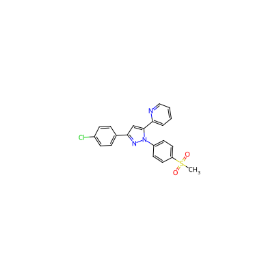 CS(=O)(=O)c1ccc(-n2nc(-c3ccc(Cl)cc3)cc2-c2ccccn2)cc1